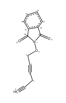 C#CCC#CCON1C(=O)c2ccccc2C1=O